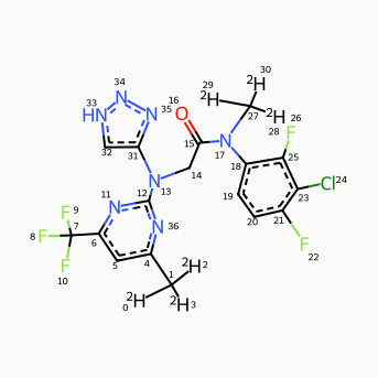 [2H]C([2H])([2H])c1cc(C(F)(F)F)nc(N(CC(=O)N(c2ccc(F)c(Cl)c2F)C([2H])([2H])[2H])c2c[nH]nn2)n1